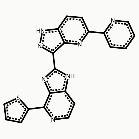 c1ccc(-c2ccc3[nH]nc(-c4nc5c(-c6cccs6)nccc5[nH]4)c3n2)nc1